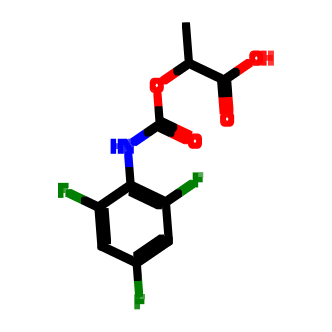 CC(OC(=O)Nc1c(F)cc(F)cc1F)C(=O)O